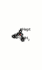 CCCCCCCC1CCC(c2ccc(COc3ccccc3N)cc2)(c2ccc(COc3ccccc3N)cc2)CC1